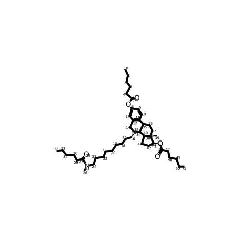 CCCCCC(=O)Oc1ccc2c(c1)C[C@@H](CCCCCCCCCN(C)C(=O)CCCCC)C1C2CC[C@@]2(C)C1CC[C@@H]2OC(=O)CCCCC